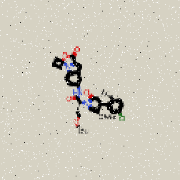 COc1cn([C@H](CCOC(C)(C)C)C(=O)Nc2ccc3c(c2)cc2n3C3(CCC3)OC2=O)c(=O)cc1-c1cc(Cl)ccc1C(C)=O